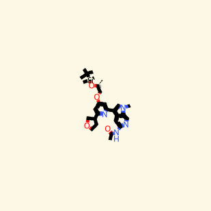 CC(=O)Nc1cc2c(-c3cc(OC[C@@H](C)O[Si](C)(C)C(C)(C)C)cc(C4CCOC4)n3)cn(C)c2cn1